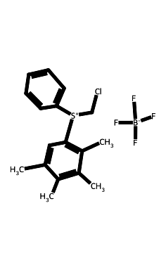 Cc1cc([S+](CCl)c2ccccc2)c(C)c(C)c1C.F[B-](F)(F)F